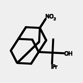 CC(C)C(C)(O)C12CC3CC(CC([N+](=O)[O-])(C3)C1)C2